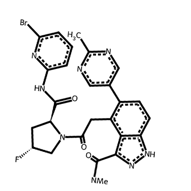 CNC(=O)c1n[nH]c2ccc(-c3cnc(C)nc3)c(CC(=O)N3C[C@H](F)C[C@H]3C(=O)Nc3cccc(Br)n3)c12